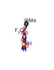 COc1ccc(COCC(OC(=O)N2CCC3(CC2)CC(NS(=O)(=O)c2cccnc2)CO3)C(F)(F)F)cc1